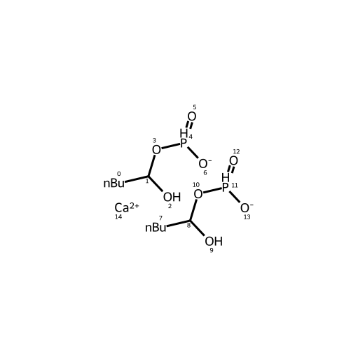 CCCCC(O)O[PH](=O)[O-].CCCCC(O)O[PH](=O)[O-].[Ca+2]